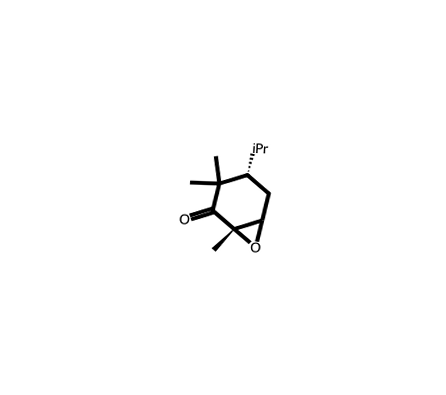 CC(C)[C@@H]1CC2O[C@]2(C)C(=O)C1(C)C